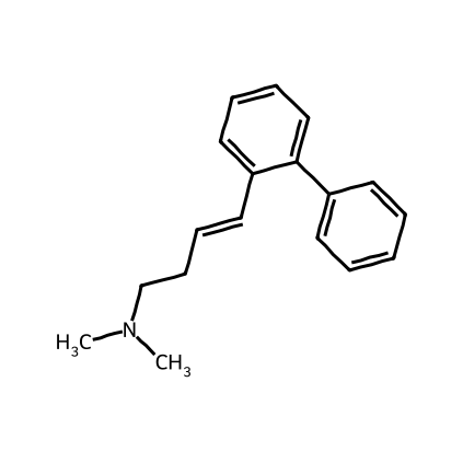 CN(C)CCC=Cc1ccccc1-c1ccccc1